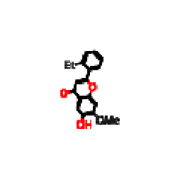 CCc1ccccc1-c1cc(=O)c2cc(O)c(OC)cc2o1